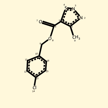 Cc1nnsc1C(=O)OCc1ccc(Cl)cc1